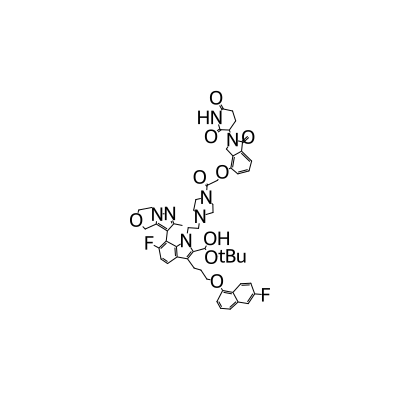 Cc1nn2c(c1-c1c(F)ccc3c(CCCOc4cccc5cc(F)ccc45)c(C(O)OC(C)(C)C)n(CCN4CCN(C(=O)COc5cccc6c5CN(C5CCC(=O)NC5=O)C6=O)CC4)c13)COCC2